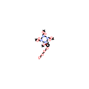 COCCOCCOCCOc1ccc(C[C@@H]2CN(CC(=O)OC(C)(C)C)CCN(CC(=O)OC(C)(C)C)CCN(CC(=O)OC(C)(C)C)CCN2CCOC(C)(C)C)cc1